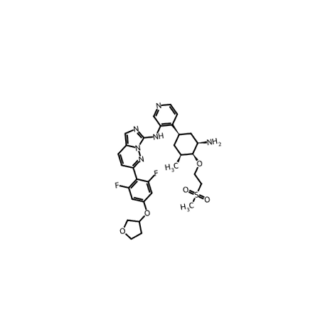 C[C@H]1C[C@@H](c2ccncc2Nc2ncc3ccc(-c4c(F)cc(OC5CCOC5)cc4F)nn23)C[C@@H](N)[C@H]1OCCS(C)(=O)=O